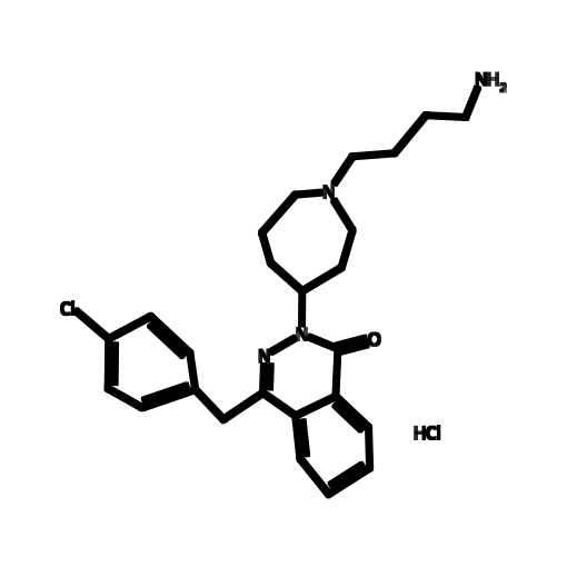 Cl.NCCCCN1CCCC(n2nc(Cc3ccc(Cl)cc3)c3ccccc3c2=O)CC1